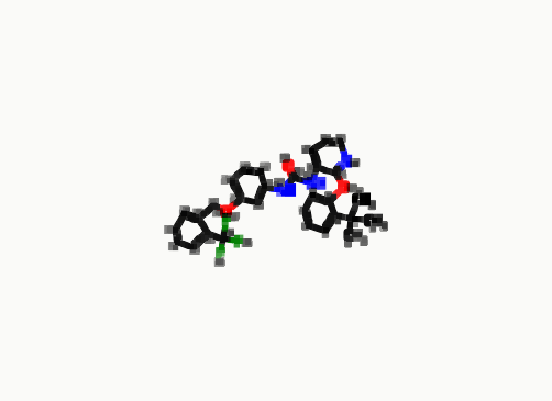 CC(C)(C)c1ccccc1Oc1ncccc1NC(=O)Nc1cccc(OCc2ccccc2C(F)(F)F)c1